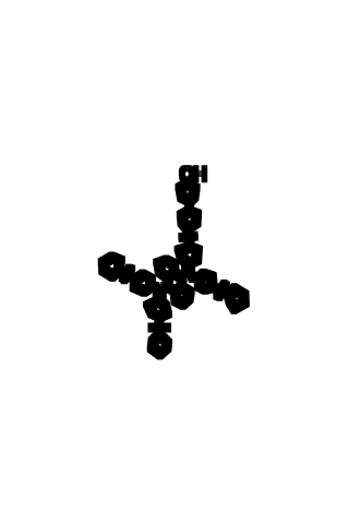 CC(C)(c1ccccc1)c1ccc(N(c2ccc(C(C)(C)c3ccccc3)cc2)c2c3ccccc3c(N(c3ccc(C(C)(C)c4ccccc4)cc3)c3ccc(C(C)(C)c4ccc(-c5ccc(O)cc5)cc4)cc3)c3ccccc23)cc1